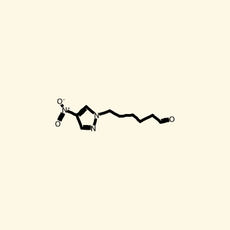 O=CCCCCCn1cc([N+](=O)[O-])cn1